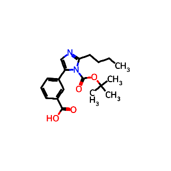 CCCCc1ncc(-c2cccc(C(=O)O)c2)n1C(=O)OC(C)(C)C